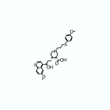 COc1ccc(SCCCN2CC[C@@H](CC[C@@H](O)c3ccnc4ccc(OC)cc34)[C@@H](C(=O)O)C2)cc1